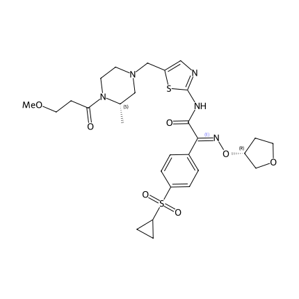 COCCC(=O)N1CCN(Cc2cnc(NC(=O)/C(=N/O[C@@H]3CCOC3)c3ccc(S(=O)(=O)C4CC4)cc3)s2)C[C@@H]1C